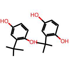 CC(C)(C)c1cc(O)ccc1O.CC(C)(C)c1cc(O)ccc1O